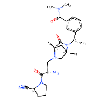 C[C@@H](c1cccc(C(=O)N(C)C)c1)N1C(=O)[C@@H]2C[C@H]1CN2C[C@H](N)C(=O)N1CCC[C@H]1C#N